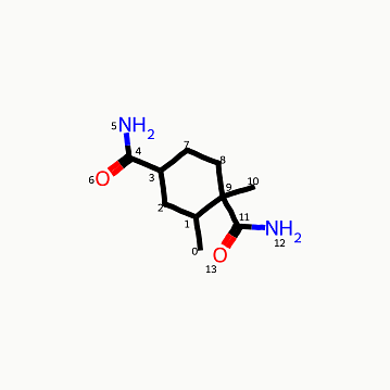 CC1CC(C(N)=O)CCC1(C)C(N)=O